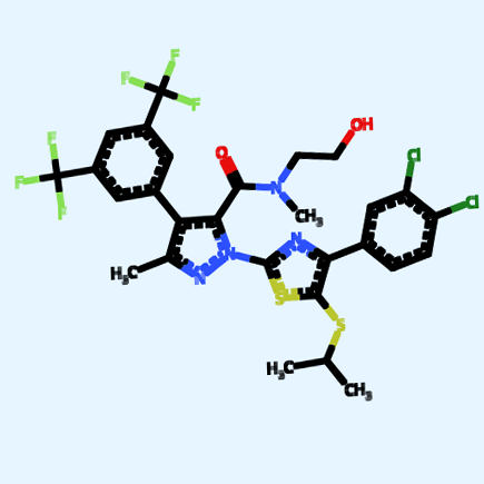 Cc1nn(-c2nc(-c3ccc(Cl)c(Cl)c3)c(SC(C)C)s2)c(C(=O)N(C)CCO)c1-c1cc(C(F)(F)F)cc(C(F)(F)F)c1